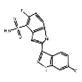 NS(=O)(=O)c1c(F)ccc2[nH]c(-c3n[nH]c4cc(Cl)ccc34)cc12